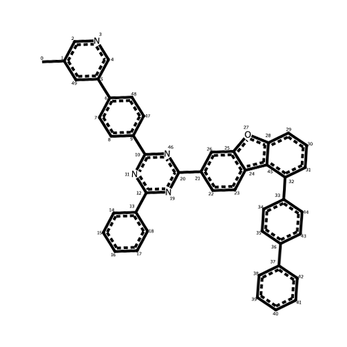 Cc1cncc(-c2ccc(-c3nc(-c4ccccc4)nc(-c4ccc5c(c4)oc4cccc(-c6ccc(-c7ccccc7)cc6)c45)n3)cc2)c1